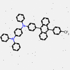 FC(F)(F)c1ccc(-c2c3ccccc3c(-c3ccc(N(c4ccccc4)c4ccc(N(c5ccccc5)c5ccccc5)cc4)cc3)c3ccccc23)cc1